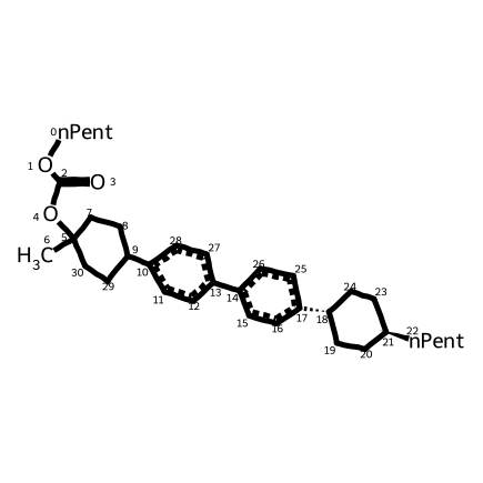 CCCCCOC(=O)OC1(C)CCC(c2ccc(-c3ccc([C@H]4CC[C@H](CCCCC)CC4)cc3)cc2)CC1